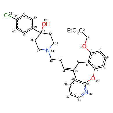 CCOC(=O)COc1cccc2c1CC(=CCCN1CCC(O)(c3ccc(Cl)cc3)CC1)c1cccnc1O2